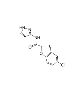 O=C(COc1ccc(Cl)cc1Cl)Nc1cc[nH]n1